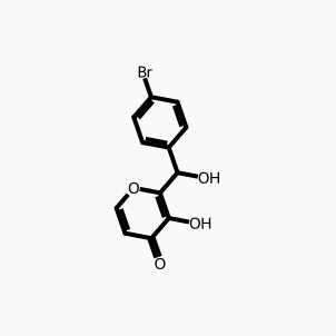 O=c1ccoc(C(O)c2ccc(Br)cc2)c1O